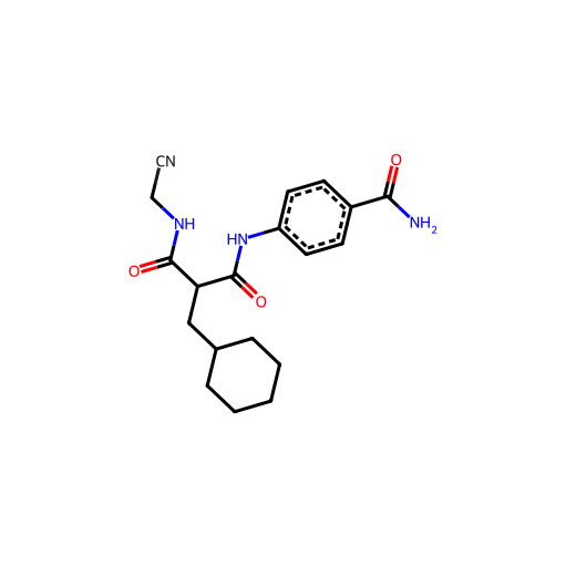 N#CCNC(=O)C(CC1CCCCC1)C(=O)Nc1ccc(C(N)=O)cc1